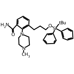 CN1CCN(c2c(CCCO[Si](c3ccccc3)(c3ccccc3)C(C)(C)C)cccc2C(N)=O)CC1